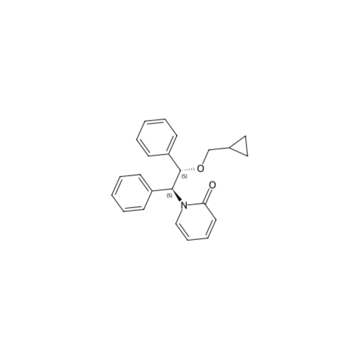 O=c1ccccn1[C@@H](c1ccccc1)[C@@H](OCC1CC1)c1ccccc1